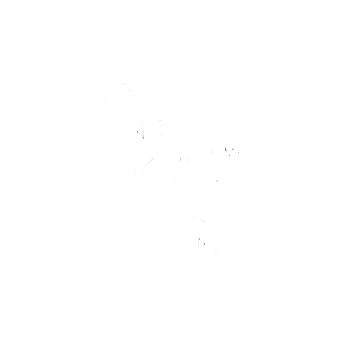 COc1cc(CC2SC(=O)NC2=O)cc2cc(C(=O)c3nc(-c4ccccc4)oc3C)oc12